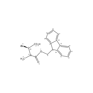 CCC(C)[C@@H](C(=O)O)N(C)C(=O)OCC1c2ccccc2-c2ccccc21